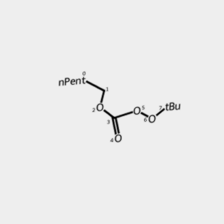 CCCCCCOC(=O)OOC(C)(C)C